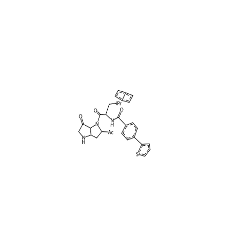 CC(=O)C1CC2NCC(=O)C2N1C(=O)C(CC(C)C)NC(=O)c1ccc(-c2cccs2)cc1.c1cc2ccc1-2